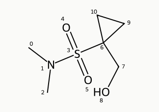 CN(C)S(=O)(=O)C1(CO)CC1